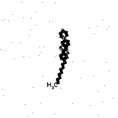 CCCCCCCCCCc1ccc2c(c1)sc1c3ccc(N4CCCCC4)cc3sc21